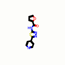 O=C(Nc1nnc(-c2ccncc2)s1)c1ccco1